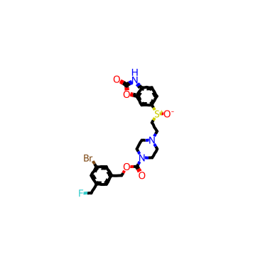 O=C(OCc1cc(Br)cc(CF)c1)N1CCN(CC[S+]([O-])c2ccc3[nH]c(=O)oc3c2)CC1